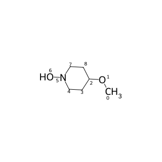 COC1CCN(O)CC1